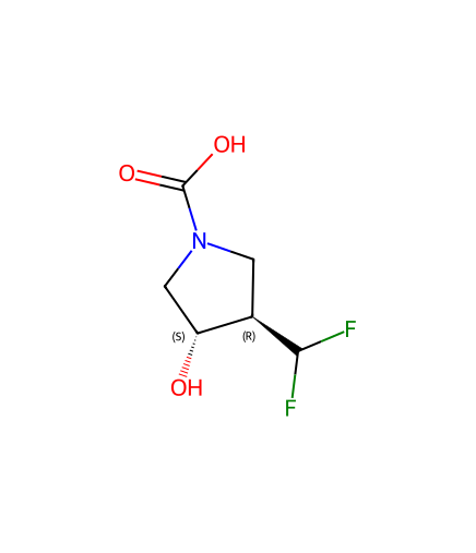 O=C(O)N1C[C@@H](O)[C@H](C(F)F)C1